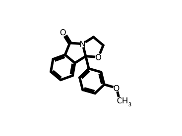 COc1cccc(C23OCCN2C(=O)c2ccccc23)c1